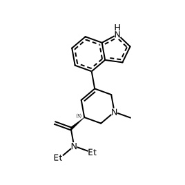 C=C([C@H]1C=C(c2cccc3[nH]ccc23)CN(C)C1)N(CC)CC